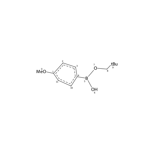 COc1ccc(B(O)OCC(C)(C)C)cc1